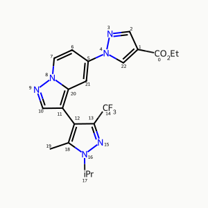 CCOC(=O)c1cnn(-c2ccn3ncc(-c4c(C(F)(F)F)nn(C(C)C)c4C)c3c2)c1